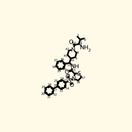 CC(C)[C@H](N)C(=O)N1CCC(C(NC(=O)C2SCCN2S(=O)(=O)c2ccc(-c3ccccc3)cc2)c2ccccc2)CC1